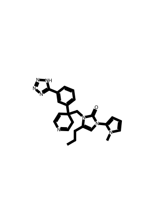 CCCc1cn(-c2cccn2C)c(=O)n1CC1(c2cccc(-c3nnn[nH]3)c2)C=CN=CC1